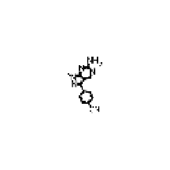 Cn1nc(-c2ccc(C#N)cc2)c2cnc(N)nc21